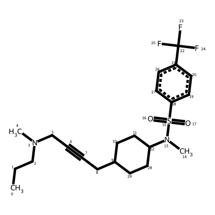 CCCN(C)CC#CCC1CCC(N(C)S(=O)(=O)c2ccc(C(F)(F)F)cc2)CC1